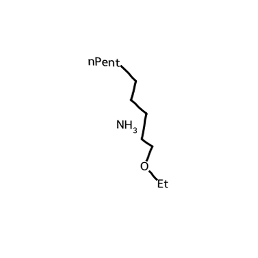 CCCCCCCCCCOCC.N